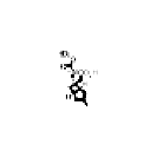 CC1=C[C@H]2[C@H](C1)C[C@@]2(CNC(=O)OC(C)(C)C)CC(=O)O